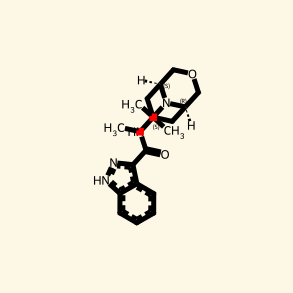 CCC(C)(C)N1[C@@H]2COC[C@H]1C[C@@H](NC(=O)c1n[nH]c3ccccc13)C2